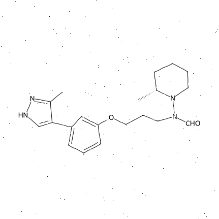 Cc1n[nH]cc1-c1c[c]cc(OCCCN(C=O)N2CCCC[C@H]2C)c1